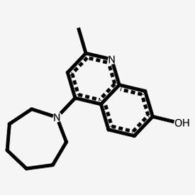 Cc1cc(N2CCCCCC2)c2ccc(O)cc2n1